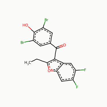 CCc1oc2cc(F)c(F)cc2c1C(=O)c1cc(Br)c(O)c(Br)c1